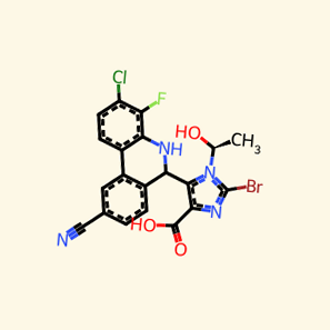 C[C@H](O)n1c(Br)nc(C(=O)O)c1C1Nc2c(ccc(Cl)c2F)-c2cc(C#N)ccc21